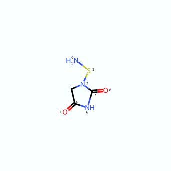 NSN1CC(=O)NC1=O